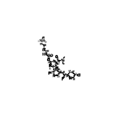 CN(C)C(=O)[C@]12C[C@H]1[C@@](C)(c1cc(/C=C(\F)c3ccc(Cl)cn3)cnc1F)N=C(OC(=O)NCOCC[Si](C)(C)C)S2